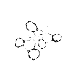 O=P1(C(O)c2ccccc2C(O)P2(=O)Oc3ccccc3-c3ccccc32)Oc2ccccc2-c2ccccc21